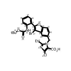 CCc1nc(Cl)c(C(=O)O)n1Cc1ccc2oc(-c3ccccc3NC(=O)OC(C)(C)C)c(Br)c2c1